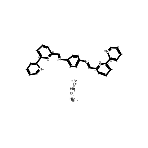 Br.Br.Br.Br.C(=Nc1ccc(N=Cc2cccc(-c3ccccn3)n2)cc1)c1cccc(-c2ccccn2)n1.[Fe].[Fe]